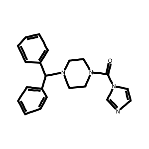 O=C(N1CCN(C(c2ccccc2)c2ccccc2)CC1)n1ccnc1